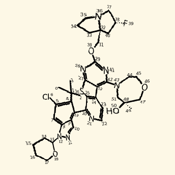 CC(C)(C)c1c(Cl)cc2c(cnn2C2CCCCO2)c1-c1nccc2c1sc1nc(OC[C@@]34CCCN3C[C@H](F)C4)nc(N3CCOC[C@@](C)(O)C3)c12